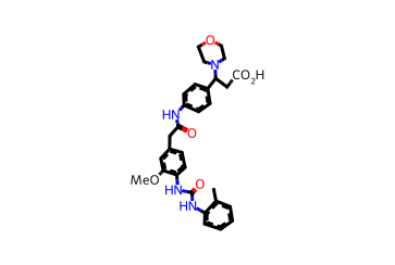 COc1cc(CC(=O)Nc2ccc(C(CC(=O)O)N3CCOCC3)cc2)ccc1NC(=O)Nc1ccccc1C